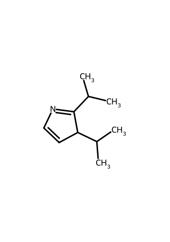 CC(C)C1=NC=CC1C(C)C